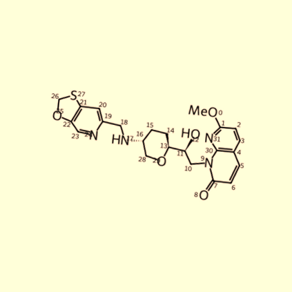 COc1ccc2ccc(=O)n(C[C@H](O)[C@@H]3CC[C@@H](NCc4cc5c(cn4)OCS5)CO3)c2n1